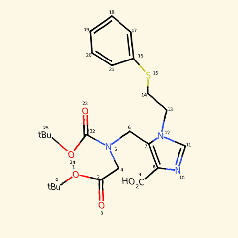 CC(C)(C)OC(=O)CN(Cc1c(C(=O)O)ncn1CCSc1ccccc1)C(=O)OC(C)(C)C